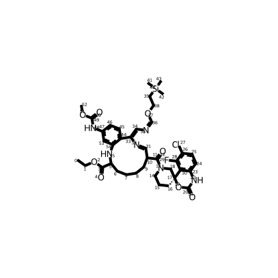 CCOC(=O)C1CCCCC(C(=O)N2CCC[C@@]3(C2)OC(=O)Nc2ccc(Cl)c(F)c23)/C=N/C(=C\N=C/OCC[Si](C)(C)C)c2ccc(NC(=O)OC)cc2N1